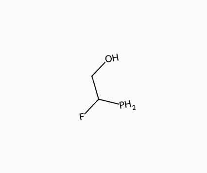 OCC(F)P